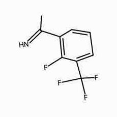 CC(=N)c1cccc(C(F)(F)F)c1F